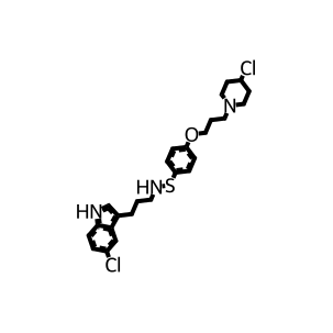 Clc1ccc2[nH]cc(CCCNSc3ccc(OCCCN4CCC(Cl)CC4)cc3)c2c1